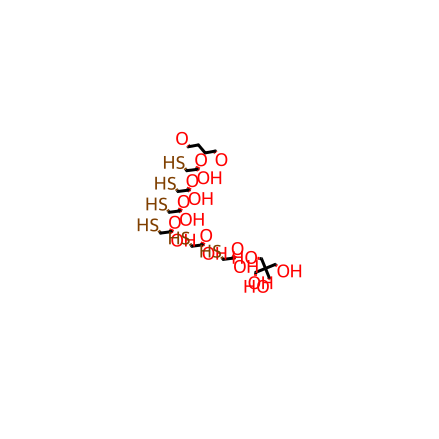 O=C(O)CS.O=C(O)CS.O=C(O)CS.O=C(O)CS.O=C(O)CS.O=C(O)CS.O=CCCC=O.OCC(CO)(CO)CO